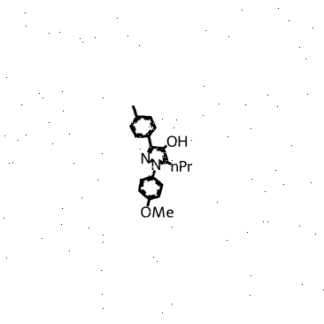 CCCc1c(O)c(-c2ccc(C)cc2)nn1-c1ccc(OC)cc1